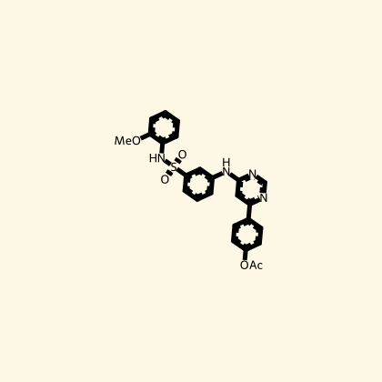 COc1ccccc1NS(=O)(=O)c1cccc(Nc2cc(-c3ccc(OC(C)=O)cc3)ncn2)c1